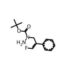 CC(C)(C)OC(=O)N(N)CC(=CF)c1ccccc1